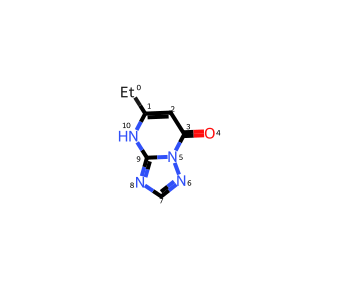 CCc1cc(=O)n2ncnc2[nH]1